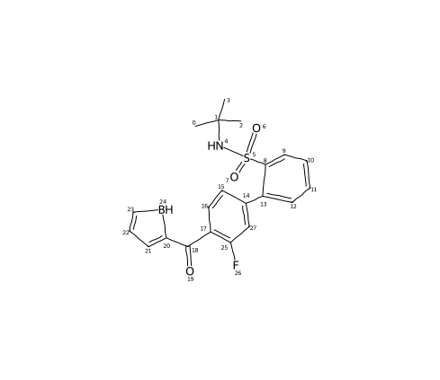 CC(C)(C)NS(=O)(=O)c1ccccc1-c1ccc(C(=O)C2=CC=CB2)c(F)c1